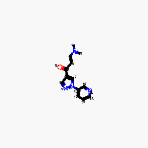 CN(C)C=CC(=O)c1cnn(-c2cccnc2)c1